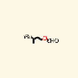 CCCCC(C)CCO[C]=O